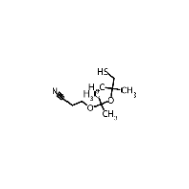 CC(C)(CS)OC(C)(C)OCCC#N